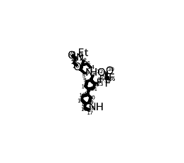 CCN1CC2(CCN(Cc3ccc(-c4ccc5cc[nH]c5c4)cc3F)CC2)OCC1=O.O=C(O)C(F)(F)F